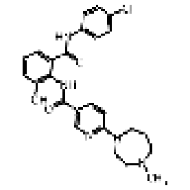 CN1CCCN(c2ccc(C(=O)Nc3c(O)cccc3C(=O)Nc3ccc(Cl)cc3)cn2)CC1